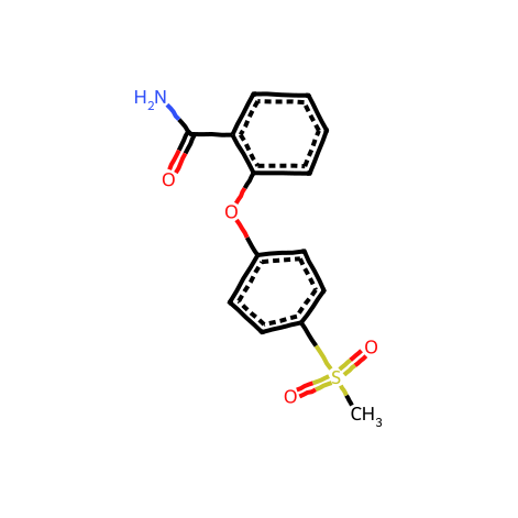 CS(=O)(=O)c1ccc(Oc2ccccc2C(N)=O)cc1